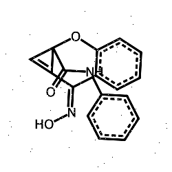 O=C(Nc1ccccc1)C12C=C1C(=NO)c1ccccc1O2